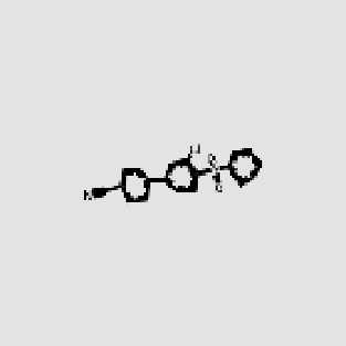 N#Cc1ccc(-c2ccc(S(=O)(=O)c3ccccc3)c(Cl)c2)cc1